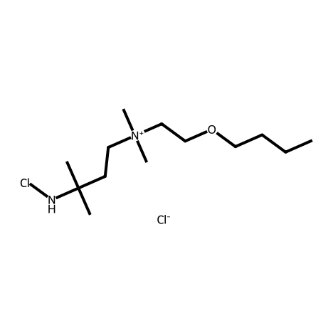 CCCCOCC[N+](C)(C)CCC(C)(C)NCl.[Cl-]